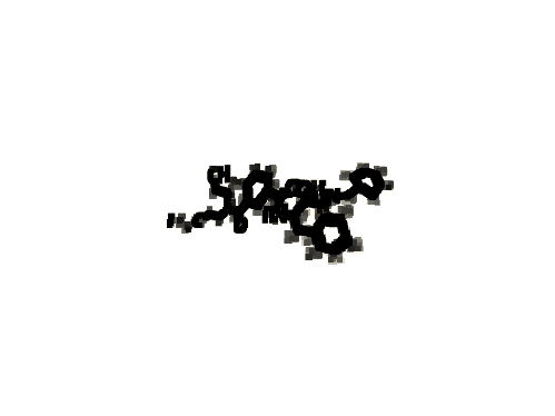 CCCN(CCC)C(=O)c1cccc(C(=O)NC(Cc2ccccc2)C(O)CNCc2ccccc2)c1